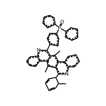 Cc1c2c(C3C=CC=CC3C)nc3ccccc3c2c(C)c2c(-c3ccc(P(=O)(c4ccccc4)c4ccccc4)cc3)nc3ccccc3c12